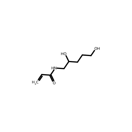 C=CC(=O)NCC(O)CCCO